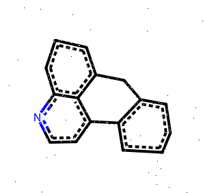 c1ccc2c(c1)Cc1cccc3nccc-2c13